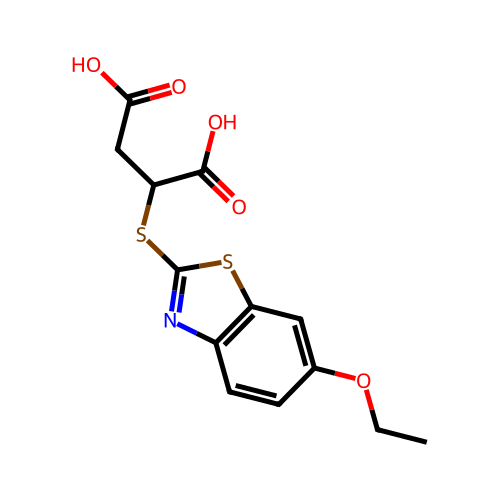 CCOc1ccc2nc(SC(CC(=O)O)C(=O)O)sc2c1